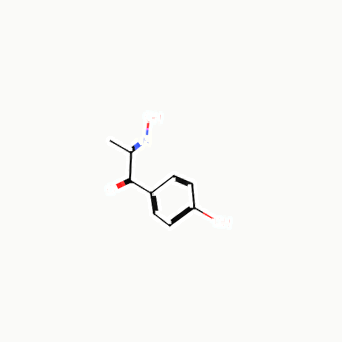 CC(=NO)C(=O)c1ccc(O)cc1